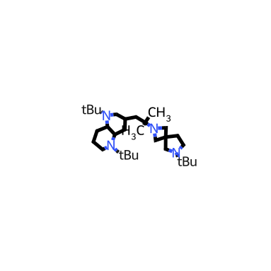 CC(C)(C)N1CCC2(C1)CN(C(C)(C)CC1CC3C(CCCN3C(C)(C)C)N(C(C)(C)C)C1)C2